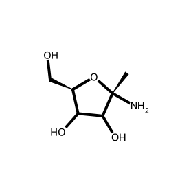 C[C@]1(N)O[C@H](CO)C(O)C1O